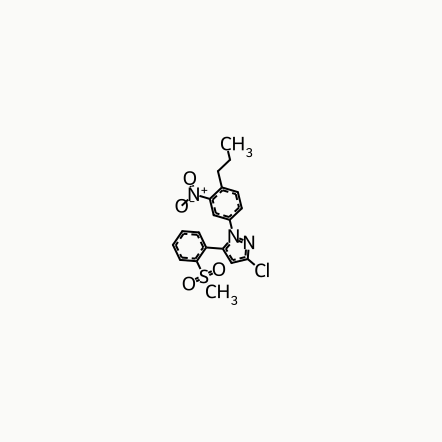 CCCc1ccc(-n2nc(Cl)cc2-c2ccccc2S(C)(=O)=O)cc1[N+](=O)[O-]